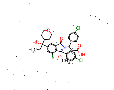 CCC(O)(c1cc(F)c2c(c1)C(=O)N(C(CC(=O)O)c1ccc(Cl)cc1)[C@@]2(OC)c1ccc(Cl)cc1)C1CCOCC1